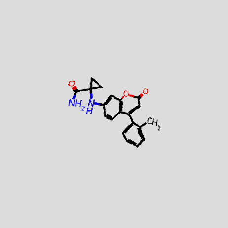 Cc1ccccc1-c1cc(=O)oc2cc(NC3(C(N)=O)CC3)ccc12